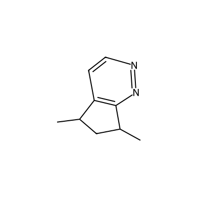 CC1CC(C)c2nnccc21